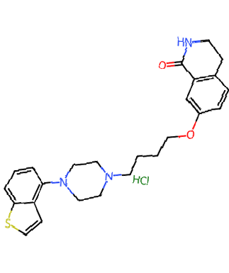 Cl.O=C1NCCc2ccc(OCCCCN3CCN(c4cccc5sccc45)CC3)cc21